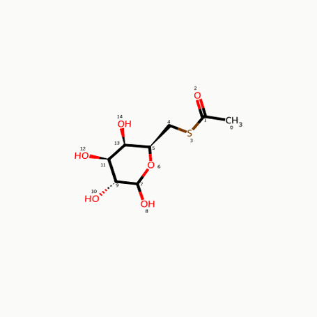 CC(=O)SC[C@H]1OC(O)[C@H](O)[C@@H](O)[C@H]1O